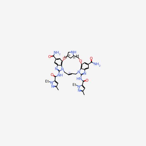 CCn1nc(C)cc1C(=O)Nc1nc2cc(C(N)=O)cc3c2n1C/C=C/Cn1c(NC(=O)c2cc(C)nn2CC)nc2cc(C(N)=O)cc(c21)O[C@H]1CN[C@@H](CO3)C1